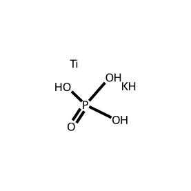 O=P(O)(O)O.[KH].[Ti]